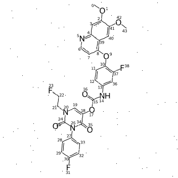 COc1cc2nccc(Oc3ccc(NC(=O)Oc4cn(CCF)c(=O)n(-c5ccc(F)cc5)c4=O)cc3F)c2cc1OC